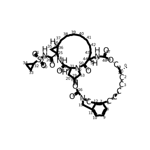 C[C@@H]1CCCCCc2cccc3c2CN(C3)C(=O)O[C@@H]2C[C@H]3C(=O)N[C@]4(C(=O)NS(=O)(=O)C5CC5)C[C@H]4CCCCCCC[C@H](NC(=O)OC1)C(=O)N3C2